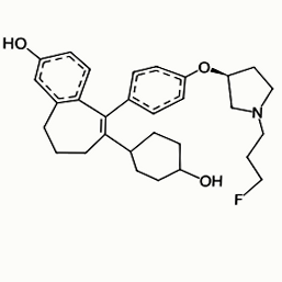 Oc1ccc2c(c1)CCCC(C1CCC(O)CC1)=C2c1ccc(O[C@H]2CCN(CCCF)C2)cc1